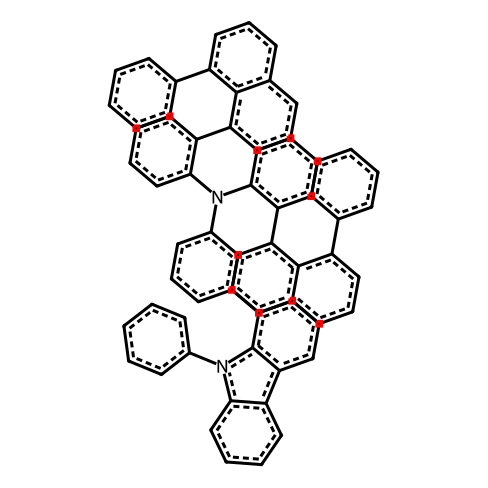 c1ccc(-c2cccc3cccc(-c4ccccc4N(c4cccc(-c5cccc6c7ccccc7n(-c7ccccc7)c56)c4)c4ccccc4-c4cccc5cccc(-c6ccccc6)c45)c23)cc1